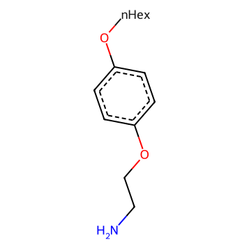 CCCCCCOc1ccc(OCCN)cc1